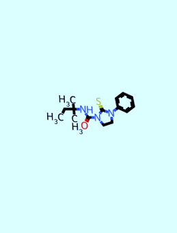 CCC(C)(C)NC(=O)N1CCN(c2ccccc2)C1=S